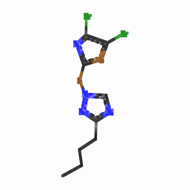 CCCCc1ncn(Sc2nc(Br)c(Br)s2)n1